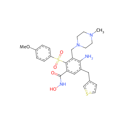 COc1ccc(S(=O)(=O)c2c(C(=O)NO)cc(Cc3ccsc3)c(N)c2CN2CCN(C)CC2)cc1